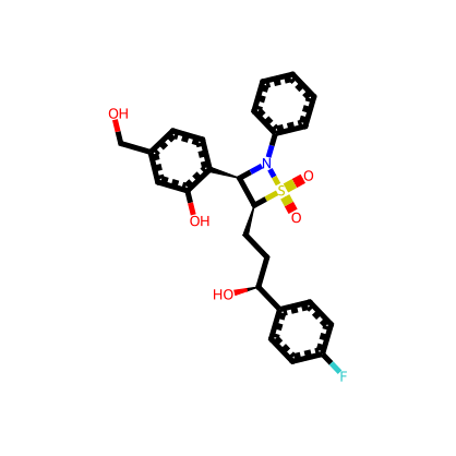 O=S1(=O)[C@@H](CC[C@H](O)c2ccc(F)cc2)[C@@H](c2ccc(CO)cc2O)N1c1ccccc1